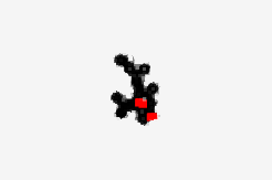 c1ccc(N(c2ccc3c(c2)oc2ccccc23)c2ccc3c(c2)sc2c(N(c4ccccc4)c4ccc5c(c4)C4(c6ccccc6Sc6ccccc64)c4ccccc4-5)cc(-c4ccc5c6ccccc6n(-c6ccccc6)c5c4)cc23)cc1